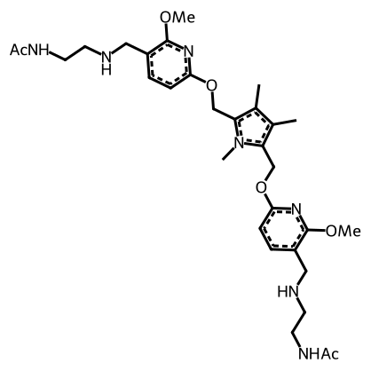 COc1nc(OCc2c(C)c(C)c(COc3ccc(CNCCNC(C)=O)c(OC)n3)n2C)ccc1CNCCNC(C)=O